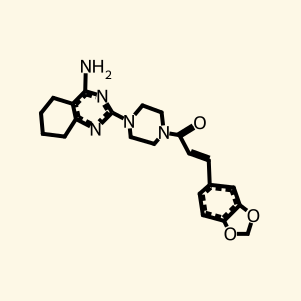 Nc1nc(N2CCN(C(=O)C=Cc3ccc4c(c3)OCO4)CC2)nc2c1CCCC2